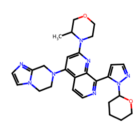 CC1COCCN1c1cc(N2CCn3ccnc3C2)c2ccnc(-c3ccnn3C3CCCCO3)c2n1